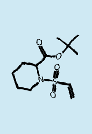 C=CS(=O)(=O)N1CCCCC1C(=O)OC(C)(C)C